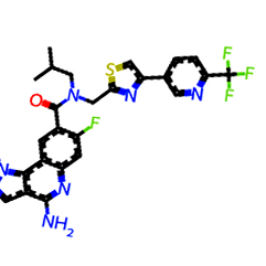 CC(C)CN(Cc1nc(-c2ccc(C(F)(F)F)nc2)cs1)C(=O)c1cc2c(cc1F)nc(N)c1cnn(C)c12